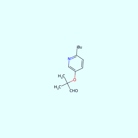 CCC(C)c1ccc(OC(C)(C)C=O)cn1